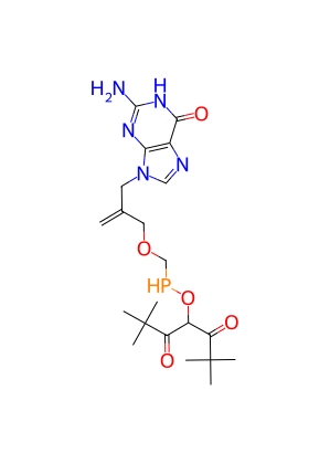 C=C(COCPOC(C(=O)C(C)(C)C)C(=O)C(C)(C)C)Cn1cnc2c(=O)[nH]c(N)nc21